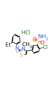 CCc1ccccc1/N=c1/scc(-c2ccc(Cl)c(S(N)(=O)=O)c2)n1C.Cl